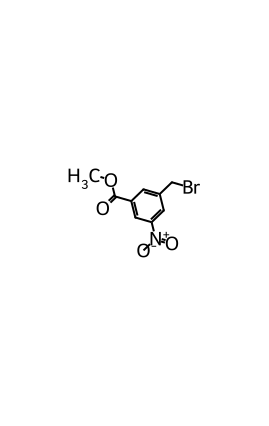 COC(=O)c1cc(CBr)cc([N+](=O)[O-])c1